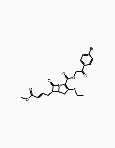 CCSC1=C(C(=O)OCC(=O)c2ccc(Br)cc2)N2C(=O)C(CC=CC(=O)OC)C2C1